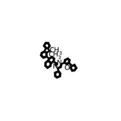 CC1(C)c2ccccc2-c2cccc(-c3ccc(-c4nc(-c5ccccc5)cc(-c5cccc6c5oc5ccccc56)n4)c4ccccc34)c21